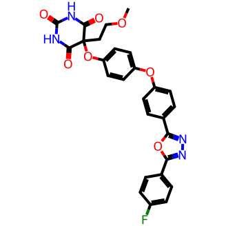 COCCC1(Oc2ccc(Oc3ccc(-c4nnc(-c5ccc(F)cc5)o4)cc3)cc2)C(=O)NC(=O)NC1=O